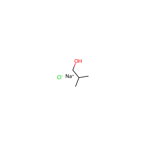 CC(C)CO.[Cl-].[Na+]